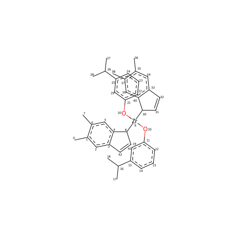 Cc1cc2c(cc1C)[CH]([Zr]([O]c1cccc(C(C)C)c1)([O]c1cccc(C(C)C)c1)[CH]1C=Cc3cc(C)c(C)cc31)C=C2